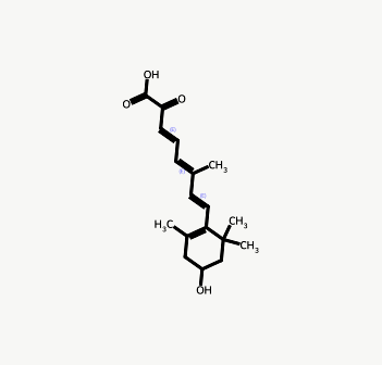 CC1=C(/C=C/C(C)=C/C=C/C(=O)C(=O)O)C(C)(C)CC(O)C1